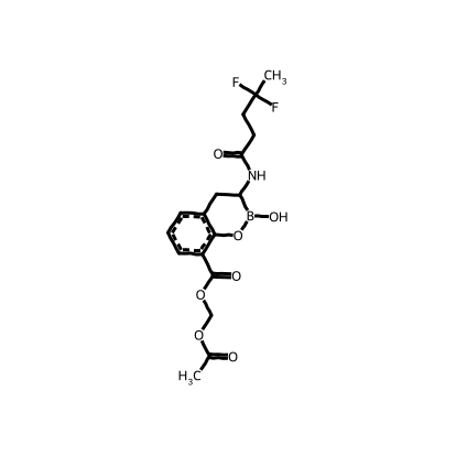 CC(=O)OCOC(=O)c1cccc2c1OB(O)C(NC(=O)CCC(C)(F)F)C2